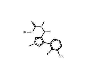 CC(c1cn(C)nc1-c1cccc([N+](=O)[O-])c1F)N(C)C(=O)OC(C)(C)C